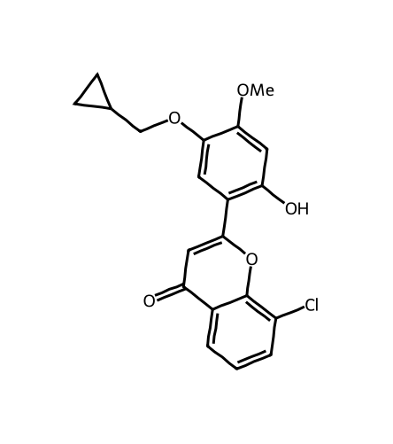 COc1cc(O)c(-c2cc(=O)c3cccc(Cl)c3o2)cc1OCC1CC1